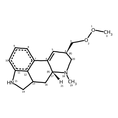 COOC[C@@H]1C=C2c3cccc4c3C(CN4)C[C@H]2N(C)C1